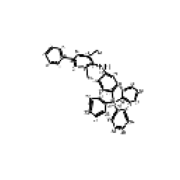 Cc1cc(-c2ccccc2)cc(C)c1Nc1ccc(S(c2ccccc2)(c2ccccc2)c2ccccc2)cc1